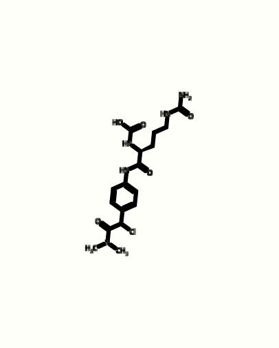 CN(C)C(=O)C(Cl)c1ccc(NC(=O)[C@H](CCCNC(N)=O)NC(=O)O)cc1